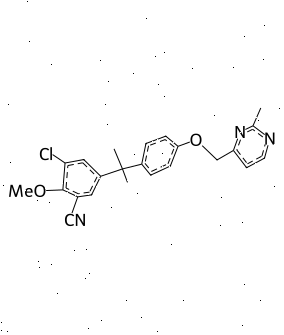 COc1c(Cl)cc(C(C)(C)c2ccc(OCc3ccnc(C)n3)cc2)cc1C#N